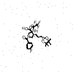 CC1(C)OB(CCC[C@H]2CN(C(=O)c3ccc(F)cc3)C[C@@]2(NC(=O)C(F)(F)F)C(=O)O)OC1(C)C